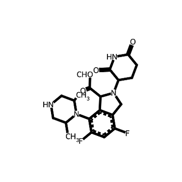 CC1CNCC(C)N1c1c(F)cc(F)c2c1C(C(=O)C=O)N(C1CCC(=O)NC1=O)C2